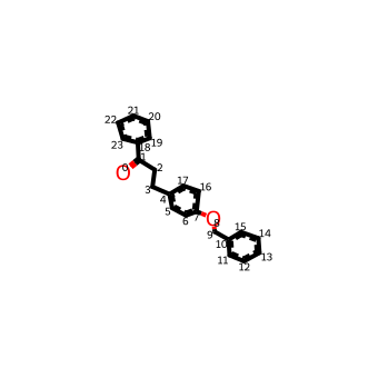 O=C(CCc1ccc(OCc2ccccc2)cc1)c1ccccc1